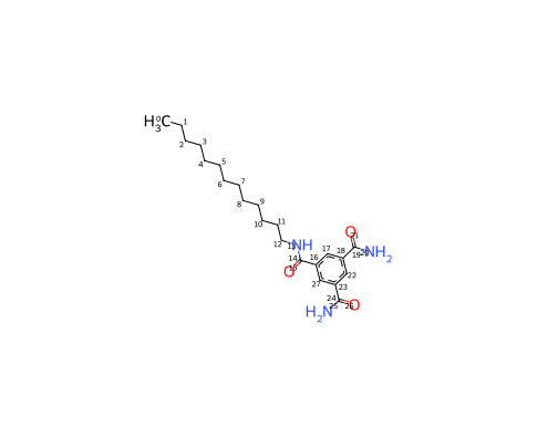 CCCCCCCCCCCCCNC(=O)c1cc(C(N)=O)cc(C(N)=O)c1